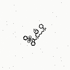 CN(CCCCCN(Cc1cccnc1)Cc1cn(S(=O)(=O)c2ccccc2)c2ccccc12)C1CCCCC1